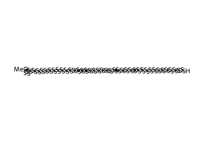 COS(=S)(=S)SSSSSSSSSSSSSSSSSSSSSSSSSSSSSSSSSSSSSSSSSSSSSSSSSSSSSSSSSSSSSSSSSSSSSSSSSSSSSS